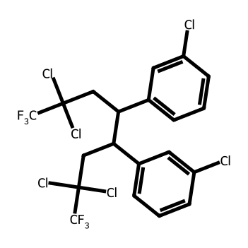 FC(F)(F)C(Cl)(Cl)CC(c1cccc(Cl)c1)C(CC(Cl)(Cl)C(F)(F)F)c1cccc(Cl)c1